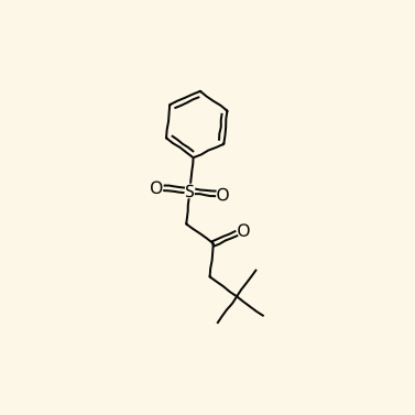 CC(C)(C)CC(=O)CS(=O)(=O)c1ccccc1